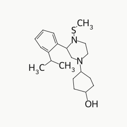 CSN1CCN(C2CCC(O)CC2)CC1c1ccccc1C(C)C